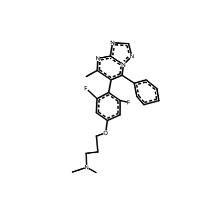 Cc1nc2ncnn2c(-c2ccccc2)c1-c1c(F)cc(OCCCN(C)C)cc1F